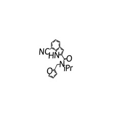 CC(C)N(Cc1ccco1)C(=O)c1cc2cccc(C#N)c2[nH]1